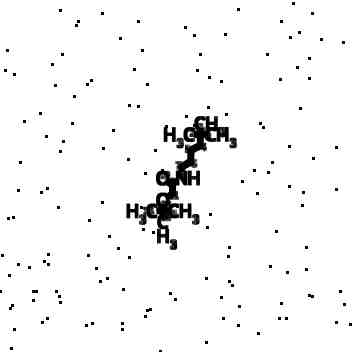 CC(C)(C)CCCCNC(=O)COC(C)(C)C